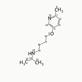 Cc1ccc(OCCCCNC(C)C)cn1